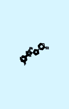 CC[C@@H]1CN([C@@H]2CC[C@H](c3nc(-c4cncc(F)c4)nn3C(C)C)C2)CCO1